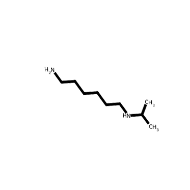 CC(C)NCCCCCCN